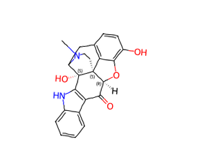 CN1CC[C@]23c4c5ccc(O)c4O[C@H]2C(=O)c2c([nH]c4ccccc24)[C@@]3(O)C1C5